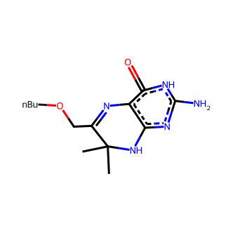 CCCCOCC1=Nc2c(nc(N)[nH]c2=O)NC1(C)C